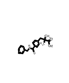 CC(C)(Cc1ccc(C(=O)NCc2ccccc2)cc1)C(=O)O